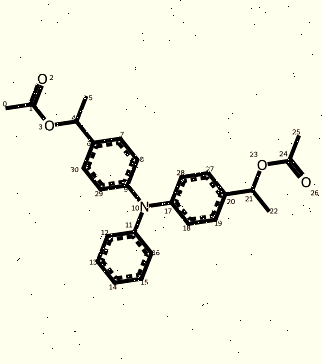 CC(=O)OC(C)c1ccc(N(c2ccccc2)c2ccc(C(C)OC(C)=O)cc2)cc1